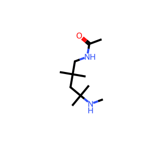 CNC(C)(C)CC(C)(C)CNC(C)=O